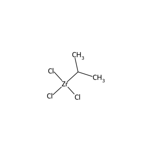 C[CH](C)[Zr]([Cl])([Cl])[Cl]